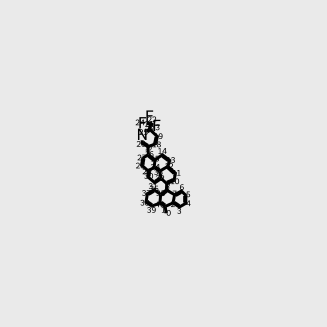 Cc1c2ccccc2c(-c2ccc3ccc4c(-c5ccc(C(F)(F)F)nc5)ccc5ccc2c3c54)c2ccccc12